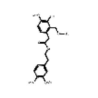 CCCCOCc1c(CC(=O)NCCc2ccc(OC)c(OC)c2)ccc(OC)c1O